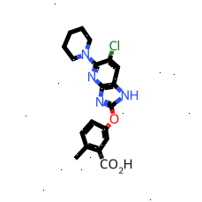 Cc1ccc(Oc2nc3nc(N4CCCCC4)c(Cl)cc3[nH]2)cc1C(=O)O